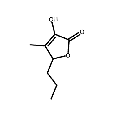 CCCC1OC(=O)C(O)=C1C